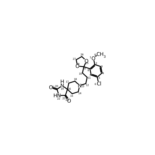 COc1ccc(Cl)cc1C1(CCCN2CCC3(CC2)NC(=O)NC3=O)OCCO1